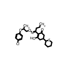 CCC/C(=N\OCC(C)Oc1ccc(Cl)cc1)C1=C(O)CC(C2CCCCS2)CC1=O